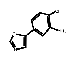 Nc1cc(-c2cnco2)ccc1Cl